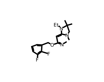 CCN1/C(=C/C(=N\C)OCc2cccc(F)c2F)N(C)CC1(C)C